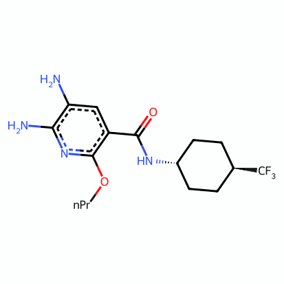 CCCOc1nc(N)c(N)cc1C(=O)N[C@H]1CC[C@H](C(F)(F)F)CC1